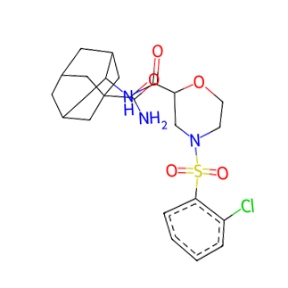 NC(=O)C12CC3CC(C1)C(NC(=O)C1CN(S(=O)(=O)c4ccccc4Cl)CCO1)C(C3)C2